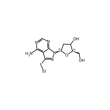 CCSc1nn([C@H]2CC(O)[C@@H](CO)O2)c2ncnc(N)c12